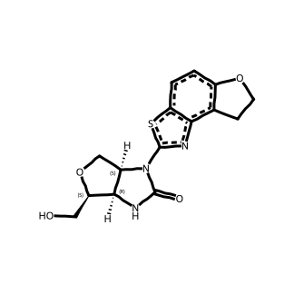 O=C1N[C@@H]2[C@@H](CO[C@@H]2CO)N1c1nc2c3c(ccc2s1)OCC3